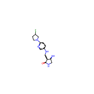 N=C1CNC(=O)/C1=C/Nc1ccc(N2CCC(F)C2)nc1